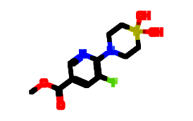 COC(=O)c1cnc(N2CCS(O)(O)CC2)c(F)c1